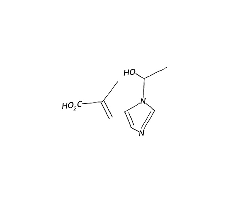 C=C(C)C(=O)O.CC(O)n1ccnc1